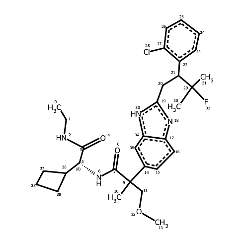 CCNC(=O)[C@H](NC(=O)C(C)(COC)c1ccc2nc(CC(c3ccccc3Cl)C(C)(C)F)[nH]c2c1)C1CCC1